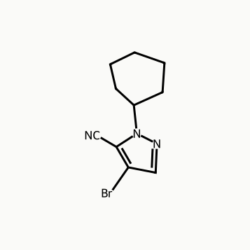 N#Cc1c(Br)cnn1C1CCCCC1